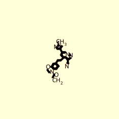 C=CC(=O)N1CCOc2cc(/C=C/c3cc(-c4cnn(C)c4)cn4ncc(C#N)c34)ccc21